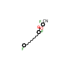 N#Cc1ccc(OC(=O)c2ccc(CCCCCCCCCc3cccc(F)c3)cc2F)cc1F